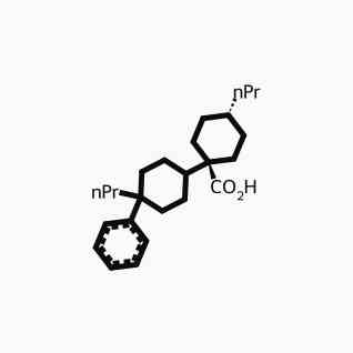 CCCC1(c2ccccc2)CCC([C@]2(C(=O)O)CC[C@H](CCC)CC2)CC1